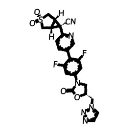 N#C[C@]1(c2ccc(-c3c(F)cc(N4C[C@H](Cn5ccnn5)OC4=O)cc3F)cn2)[C@@H]2CS(=O)(=O)C[C@@H]21